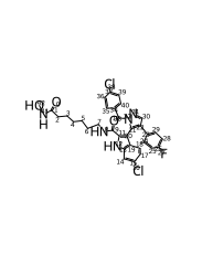 O=C(CCCCCCNC(=O)c1[nH]c2cc(Cl)ccc2c1-c1c(-c2ccc(F)cc2)cnn1Cc1ccc(Cl)cc1)NO